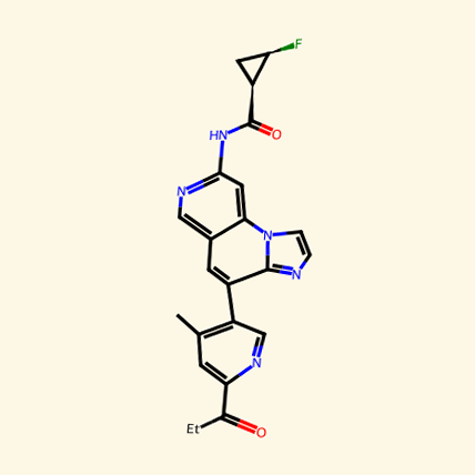 CCC(=O)c1cc(C)c(-c2cc3cnc(NC(=O)[C@H]4C[C@H]4F)cc3n3ccnc23)cn1